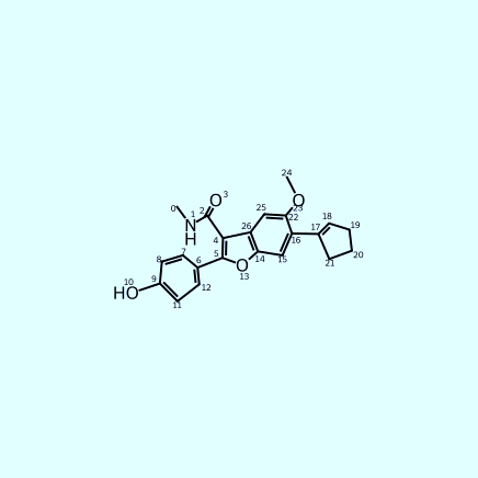 CNC(=O)c1c(-c2ccc(O)cc2)oc2cc(C3=CCCC3)c(OC)cc12